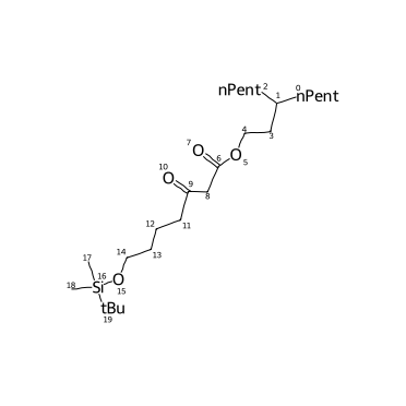 CCCCCC(CCCCC)CCOC(=O)CC(=O)CCCCO[Si](C)(C)C(C)(C)C